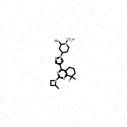 CC1CCN1c1nc(-c2cnn(C3CCN(C(=O)O)C(C(C)(C)C)C3)c2)c2c(n1)C(F)(F)CCC2